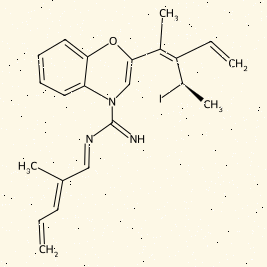 C=C/C=C(C)/C=N/C(=N)N1C=C(/C(C)=C(/C=C)[C@@H](C)I)Oc2ccccc21